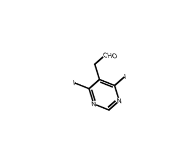 O=CCc1c(I)ncnc1I